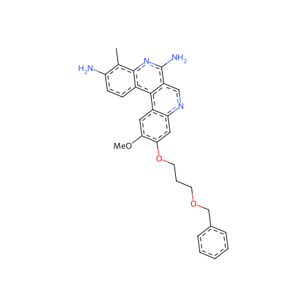 COc1cc2c(cc1OCCCOCc1ccccc1)ncc1c(N)nc3c(C)c(N)ccc3c12